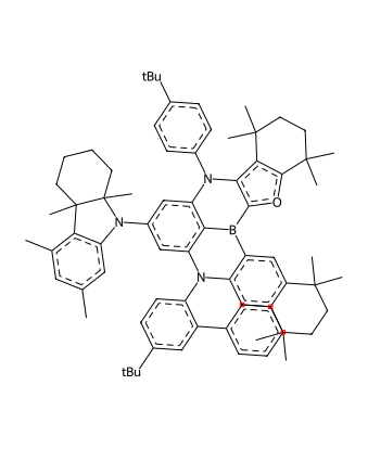 Cc1cc(C)c2c(c1)N(c1cc3c4c(c1)N(c1ccc(C(C)(C)C)cc1)c1c(oc5c1C(C)(C)CCC5(C)C)B4c1cc4c(cc1N3c1ccc(C(C)(C)C)cc1-c1ccccc1)C(C)(C)CCC4(C)C)C1(C)CCCCC21C